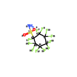 NS(=O)(=O)C1(F)C(F)(F)C(F)(F)C(F)(F)C(F)(F)C1(F)F